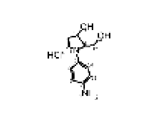 Cl.Nc1ccc(N2CCC(O)C2CO)cc1